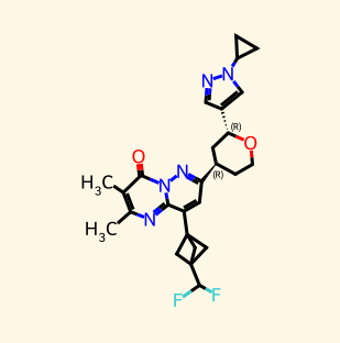 Cc1nc2c(C34CC(C(F)F)(C3)C4)cc([C@@H]3CCO[C@@H](c4cnn(C5CC5)c4)C3)nn2c(=O)c1C